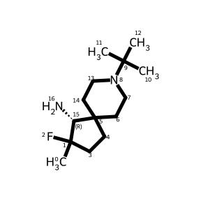 CC1(F)CCC2(CCN(C(C)(C)C)CC2)[C@H]1N